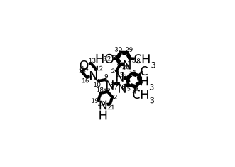 Cc1cc(C)c2nc(N(CCN3CCOCC3)C3CCNCC3)n(Cc3nc(C)ccc3O)c2c1